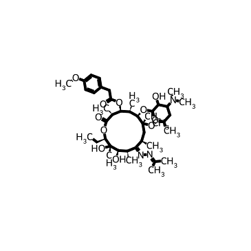 CC[C@H]1OC(=O)[C@H](C)[C@@H](OC(=O)Cc2ccc(OC)cc2)[C@H](C)[C@@H](OC2OC(C)CC(N(C)C)C2O)[C@](C)(OC)C[C@@H](C)/C(=N\N=C(C)C)[C@H](C)[C@@H](O)[C@]1(C)O